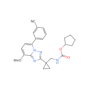 COc1ccc(-c2cccc(C#N)c2)n2nc(C3(CNC(=O)OC4CCCC4)CC3)nc12